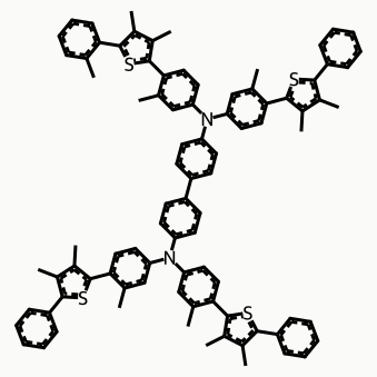 Cc1cc(N(c2ccc(-c3ccc(N(c4ccc(-c5sc(-c6ccccc6)c(C)c5C)c(C)c4)c4ccc(-c5sc(-c6ccccc6C)c(C)c5C)c(C)c4)cc3)cc2)c2ccc(-c3sc(-c4ccccc4)c(C)c3C)c(C)c2)ccc1-c1sc(-c2ccccc2)c(C)c1C